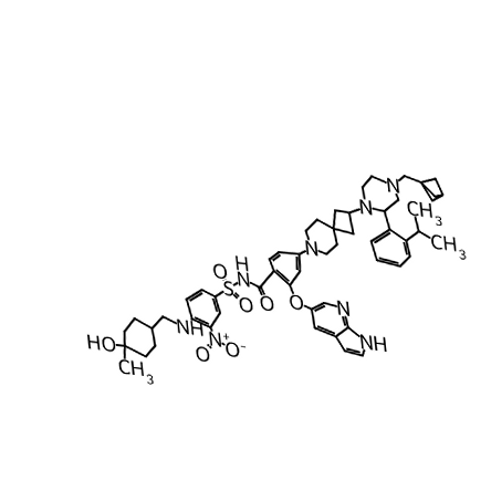 CC(C)c1ccccc1C1CN(CC23CC(C2)C3)CCN1C1CC2(CCN(c3ccc(C(=O)NS(=O)(=O)c4ccc(NCC5CCC(C)(O)CC5)c([N+](=O)[O-])c4)c(Oc4cnc5[nH]ccc5c4)c3)CC2)C1